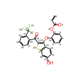 C=CC(=O)Oc1ccccc1Oc1c(C(=O)c2ccccc2C(F)(F)F)sc2cc(O)ccc12